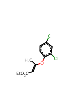 CCOC(=O)/C=C(\C)Oc1ccc(Cl)cc1Cl